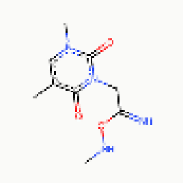 CNOC(=N)Cn1c(=O)c(C)cn(C)c1=O